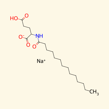 CCCCCCCCCCCCCC(=O)NC(CCC(=O)O)C(=O)[O-].[Na+]